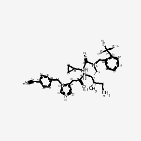 CC[C@H](C)[C@@H](CN(Cc1ccccc1C(F)(F)F)C(=S)NC1CC1)NC(=O)Cc1cncn1Cc1ccc(C#N)cc1